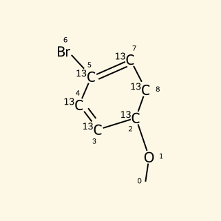 CO[13CH]1[13CH]=[13CH][13C](Br)=[13CH][13CH2]1